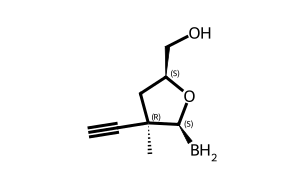 B[C@@H]1O[C@H](CO)C[C@]1(C)C#C